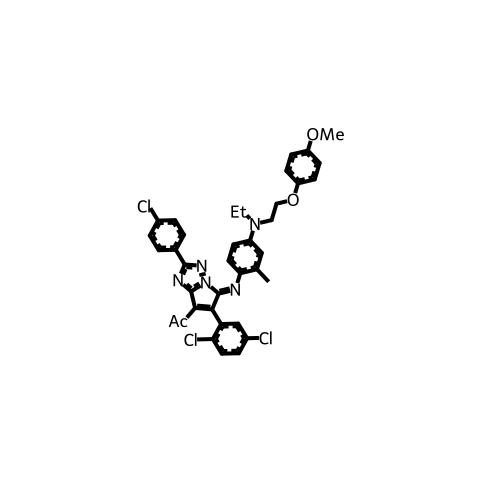 CCN(CCOc1ccc(OC)cc1)c1ccc(N=C2C(c3cc(Cl)ccc3Cl)=C(C(C)=O)c3nc(-c4ccc(Cl)cc4)nn32)c(C)c1